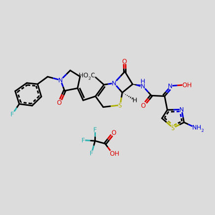 Nc1nc(C(=NO)C(=O)N[C@@H]2C(=O)N3C(C(=O)O)=C(C=C4CCN(Cc5ccc(F)cc5)C4=O)CS[C@H]23)cs1.O=C(O)C(F)(F)F